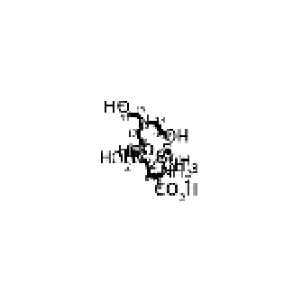 CC(=O)O.CC(=O)O.N[C@@H](CCC(=O)O)C(=O)O.OCCN(CCO)CCO